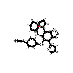 N#Cc1ccc(Oc2c(Oc3ccccc3)c(-c3cccs3)c3nsnc3c2-c2cccs2)cc1